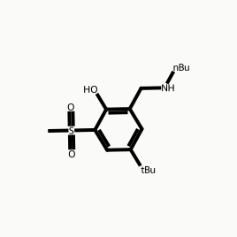 CCCCNCc1cc(C(C)(C)C)cc(S(C)(=O)=O)c1O